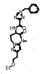 CCOCCc1cc2n(n1)CCC(NC(=O)c1ncn(Cc3ccccc3)n1)C(=O)N2C